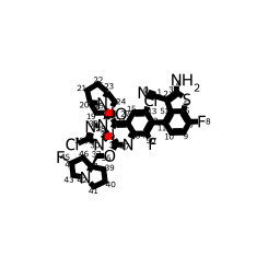 N#Cc1c(N)sc2c(F)ccc(-c3c(Cl)cc4c(N5CC6CCC(C5)N6C(=O)n5cnc(Cl)n5)nc(OC[C@@]56CCCN5C[C@H](F)C6)nc4c3F)c12